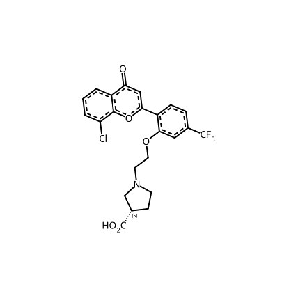 O=C(O)[C@H]1CCN(CCOc2cc(C(F)(F)F)ccc2-c2cc(=O)c3cccc(Cl)c3o2)C1